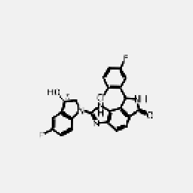 O=C1NC(c2cc(F)ccc2Cl)c2c1ccc1nc(N3C[C@@H](O)c4cc(F)ccc43)[nH]c21